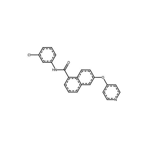 O=C(Nc1cccc(Cl)c1)c1cccc2cc(Oc3ccncc3)ccc12